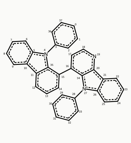 c1ccc(-n2c3ccccc3c3cccc(-c4ccnc5c6ccccc6n(-c6ccccc6)c45)c32)cc1